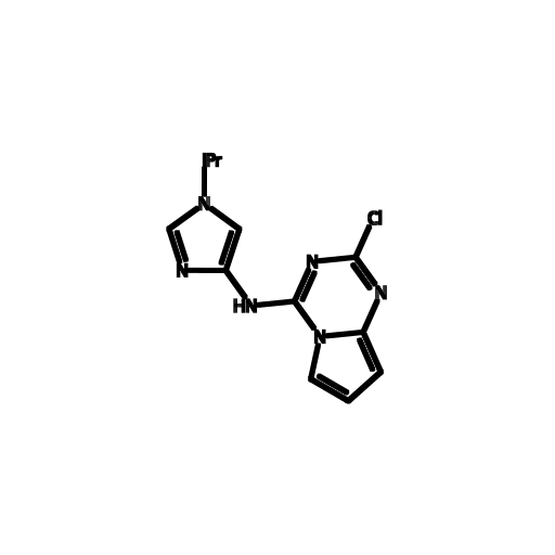 CC(C)n1cnc(Nc2nc(Cl)nc3cccn23)c1